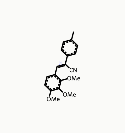 COc1ccc(/C=C(\C#N)c2ccc(C)cc2)c(OC)c1OC